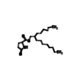 CCCCCCCCC(CCCCCC)COC(=O)C1CCC(=O)N1